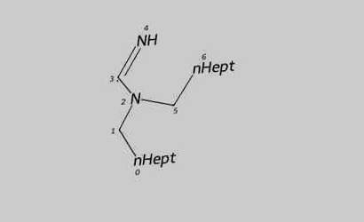 CCCCCCCCN([C]=N)CCCCCCCC